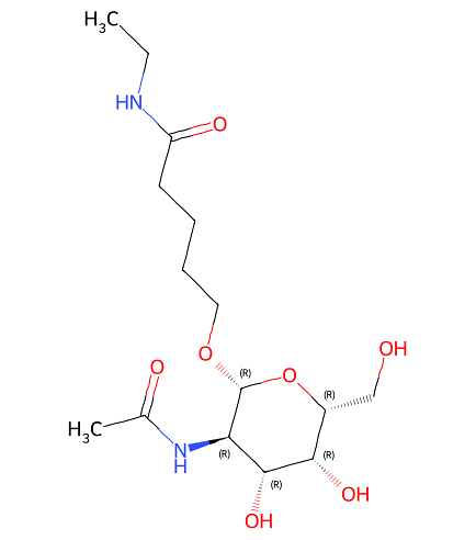 CCNC(=O)CCCCO[C@@H]1O[C@H](CO)[C@H](O)[C@H](O)[C@H]1NC(C)=O